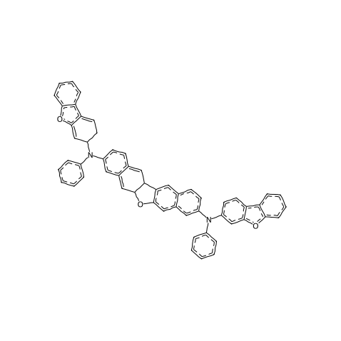 C1=c2ccc(N(c3ccccc3)C3C=c4oc5ccccc5c4=CC3)cc2=CC2Oc3cc4cc(N(c5ccccc5)c5ccc6c(c5)oc5ccccc56)ccc4cc3C12